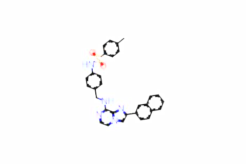 Cc1ccc(S(=O)(=O)Nc2ccc(CNc3nccn4cc(-c5ccc6ccccc6c5)nc34)cc2)cc1